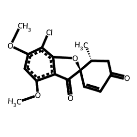 COc1cc(OC)c2c(c1Cl)O[C@@]1(C=CC(=O)C[C@H]1C)C2=O